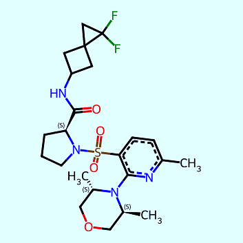 Cc1ccc(S(=O)(=O)N2CCC[C@H]2C(=O)NC2CC3(C2)CC3(F)F)c(N2[C@@H](C)COC[C@@H]2C)n1